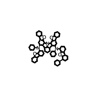 c1ccc(-c2cccc3c2oc2c(N(c4ccccc4)c4cc5c6ccccc6oc5c5c4c4cccc6c7c(N(c8ccccc8)c8cccc9c8oc8ccccc89)cc8c9ccccc9oc8c7n5c64)cccc23)cc1